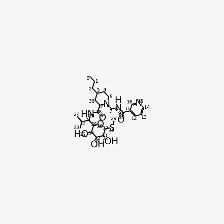 CCCC1CCN(CNC(=O)c2cccnc2)C(C(=O)NC(C(C)C)C2OC(SC)C(O)C(O)C2O)C1